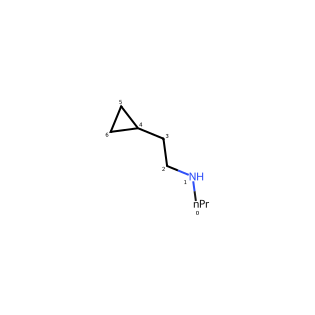 [CH2]CCNCCC1CC1